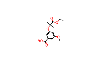 CCOC(=O)C(C)(C)Oc1cc(OC)cc(C(=O)O)c1